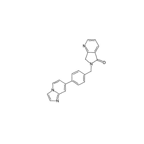 O=C1c2cccnc2CN1Cc1ccc(-c2ccn3ccnc3c2)cc1